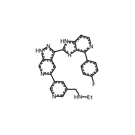 CCNCc1cncc(-c2cc3c(-c4nc5c(-c6ccc(F)cc6)nccc5[nH]4)n[nH]c3cn2)c1